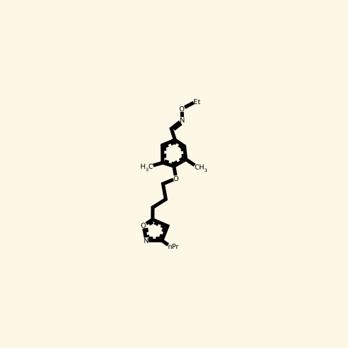 CCCc1cc(CCCOc2c(C)cc(C=NOCC)cc2C)on1